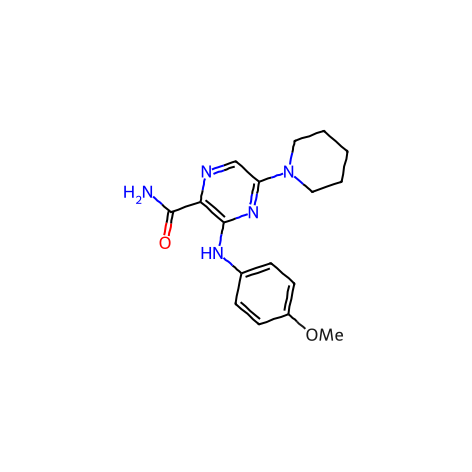 COc1ccc(Nc2nc(N3CCCCC3)cnc2C(N)=O)cc1